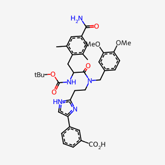 COc1ccc(CN(CCc2nc(-c3cccc(C(=O)O)c3)c[nH]2)C(=O)C(Cc2c(C)cc(C(N)=O)cc2C)NC(=O)OC(C)(C)C)cc1OC